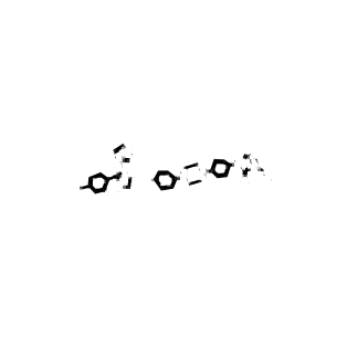 CC(=O)Cn1ncn(-c2ccc(N3CCN(c4ccc(OC[C@@H]5CO[C@@](Cn6ccnc6)(c6ccc(Cl)cc6Cl)O5)cc4)CC3)cc2)c1=O